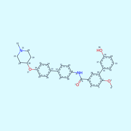 COc1ccc(C(=O)Nc2ccc(-c3ccc(OC4CCN(C)CC4)cc3)cc2)cc1-c1cccc(O)c1